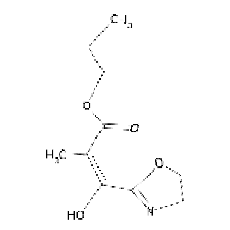 CCCOC(=O)C(C)=C(O)C1=NCCO1